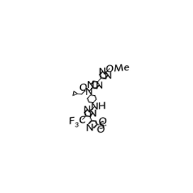 COc1ncc(-c2cnc(N(C(=O)CC3CC3)C3CCC(Nc4ncc(C(F)(F)F)c(-c5cncc(S(C)(=O)=O)c5)n4)CC3)cn2)cn1